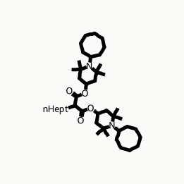 CCCCCCCC(C(=O)OC1CC(C)(C)N(C2CCCCCCC2)C(C)(C)C1)C(=O)OC1CC(C)(C)N(C2CCCCCCC2)C(C)(C)C1